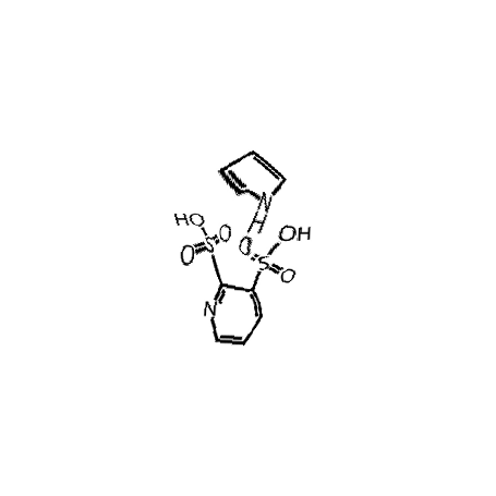 O=S(=O)(O)c1cccnc1S(=O)(=O)O.c1cc[nH]c1